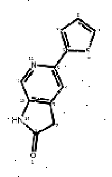 O=C1Cc2cc(-c3cccs3)ncc2N1